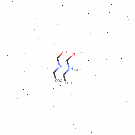 O=C([O-])CNCO.O=C([O-])CNCO.[Cu+2]